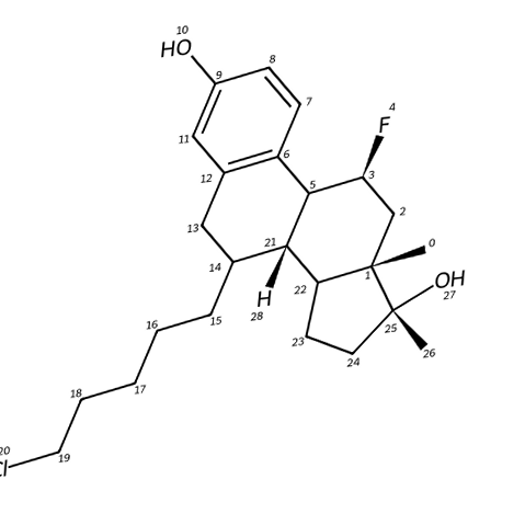 C[C@]12C[C@H](F)C3c4ccc(O)cc4CC(CCCCCCl)[C@H]3C1CC[C@@]2(C)O